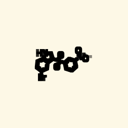 O=[N+]([O-])c1cccc(S(=O)(=O)c2c[nH]c3ccc(Br)cc23)c1